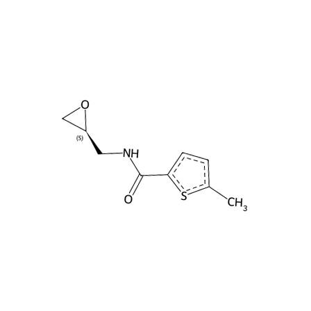 Cc1ccc(C(=O)NC[C@H]2CO2)s1